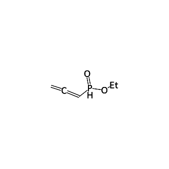 C=C=C[PH](=O)OCC